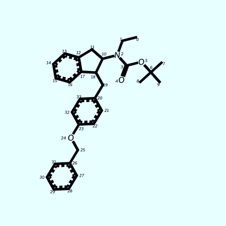 CCN(C(=O)OC(C)(C)C)C1Cc2ccccc2C1Cc1ccc(OCc2ccccc2)cc1